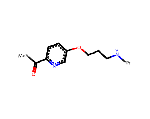 CSC(=O)c1ccc(OCCCNC(C)C)cn1